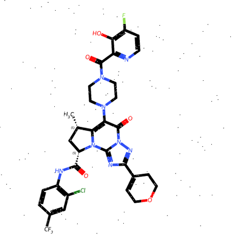 C[C@H]1C[C@@H](C(=O)Nc2ccc(C(F)(F)F)cc2Cl)n2c1c(N1CCN(C(=O)c3nccc(F)c3O)CC1)c(=O)n1nc(C3=CCOCC3)nc21